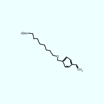 C=Cc1ccc(COCCCCCCCCCCCCCCCCCC)cc1